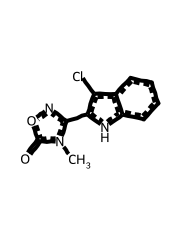 Cn1c(-c2[nH]c3ccccc3c2Cl)noc1=O